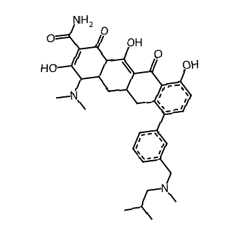 CC(C)CN(C)Cc1cccc(-c2ccc(O)c3c2CC2CC4C(C(=O)C(C(N)=O)=C(O)C4N(C)C)C(O)=C2C3=O)c1